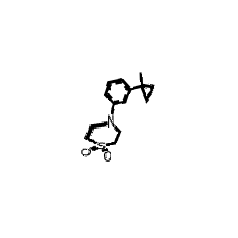 CC1(c2cccc(N3CCS(=O)(=O)CC3)c2)CC1